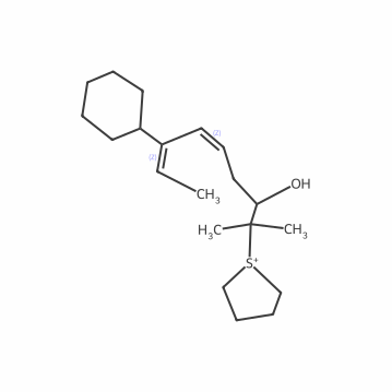 C/C=C(\C=C/CC(O)C(C)(C)[S+]1CCCC1)C1CCCCC1